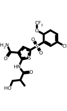 CC(CO)C(=O)Nc1sc(S(=O)(=O)C2=CC(Cl)=CCC2OC(F)(F)F)cc1C(N)=O